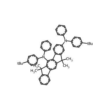 CC(C)(C)c1ccc(N(c2ccccc2)c2ccc3c(c2)C(C)(C)c2cc4c(c(N(c5ccccc5)c5ccc(C(C)(C)C)cc5)c2-3)C(C)(C)c2ccccc2-4)cc1